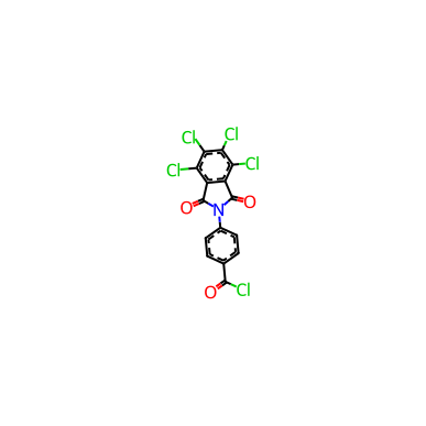 O=C(Cl)c1ccc(N2C(=O)c3c(Cl)c(Cl)c(Cl)c(Cl)c3C2=O)cc1